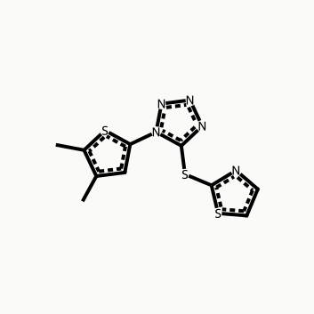 Cc1cc(-n2nnnc2Sc2nccs2)sc1C